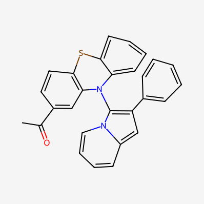 CC(=O)c1ccc2c(c1)N(c1c(-c3ccccc3)cc3ccccn13)c1ccccc1S2